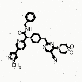 Cn1cc(-c2ccc(C(C(=O)NCc3ccccc3)[C@H]3CC[C@H](Cc4ncc(C#N)c(N5CCS(=O)(=O)CC5)n4)CC3)nc2)cn1